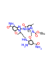 CCn1nc(C)cc1C(=O)Nc1nc2cc(C(N)=O)cc3c2n1[C@@H](CCCNc1c(N)cc(C(N)=O)cc1OCCN(C)C(=O)OC(C)(C)C)CO3